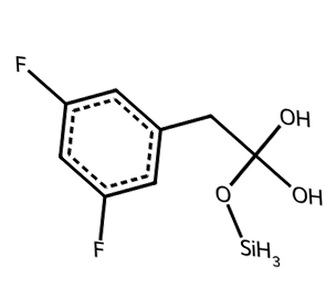 OC(O)(Cc1cc(F)cc(F)c1)O[SiH3]